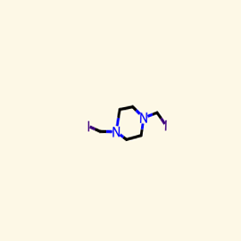 ICN1CCN(CI)CC1